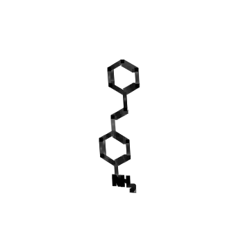 Nc1ccc(C=Cc2ccccc2)cc1